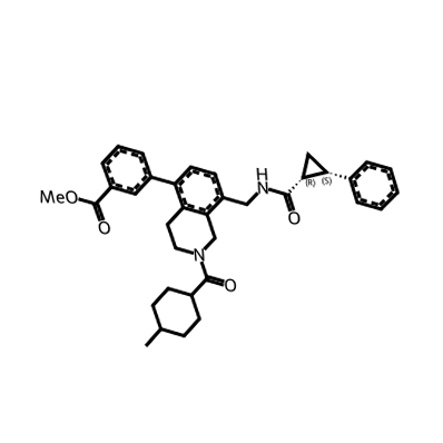 COC(=O)c1cccc(-c2ccc(CNC(=O)[C@@H]3C[C@@H]3c3ccccc3)c3c2CCN(C(=O)C2CCC(C)CC2)C3)c1